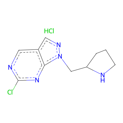 Cl.Clc1ncc2cnn(CC3CCCN3)c2n1